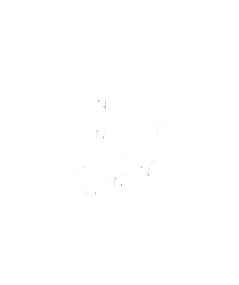 Cc1nc2c(cc1F)c1c(c(=O)n2C)OCCC2CN(C)C(C)CN12